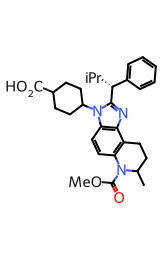 COC(=O)N1c2ccc3c(nc([C@@H](c4ccccc4)C(C)C)n3C3CCC(C(=O)O)CC3)c2CCC1C